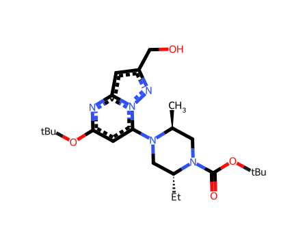 CC[C@@H]1CN(c2cc(OC(C)(C)C)nc3cc(CO)nn23)[C@@H](C)CN1C(=O)OC(C)(C)C